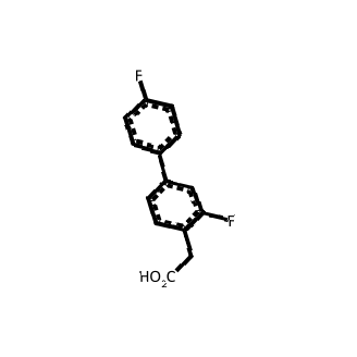 O=C(O)Cc1ccc(-c2ccc(F)cc2)cc1F